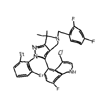 CCc1cccc(CC)c1-n1nc2c(c1-c1ccc(F)c3[nH]cc(Cl)c13)CN(Cc1ccc(F)cc1F)C2(C)C